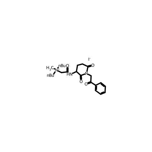 CCCC[N+](C)(CCCC)CC(=O)NC1CCC(=O)N(CC(=O)c2ccccc2)C1=O.[I-]